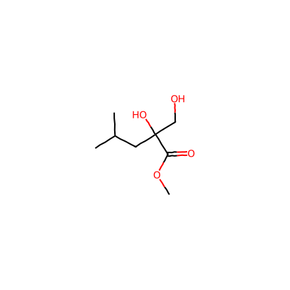 COC(=O)C(O)(CO)CC(C)C